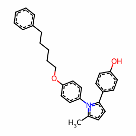 Cc1ccc(-c2ccc(O)cc2)n1-c1ccc(OCCCCCc2ccccc2)cc1